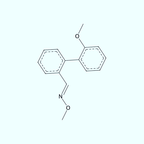 CO/N=C/c1ccccc1-c1ccccc1OC